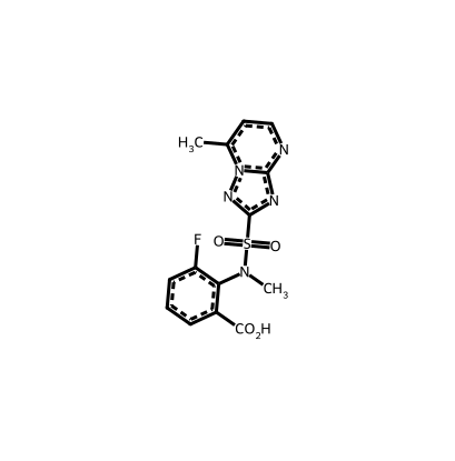 Cc1ccnc2nc(S(=O)(=O)N(C)c3c(F)cccc3C(=O)O)nn12